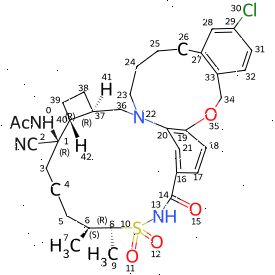 CC(=O)N[C@]1(C#N)CCC[C@H](C)[C@@H](C)S(=O)(=O)NC(=O)c2ccc3c(c2)N(CCCCc2cc(Cl)ccc2CO3)C[C@@H]2CC[C@H]21